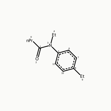 CCCC(=O)N(CC)c1ccc(CC)cc1